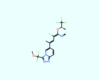 C=N/C(O[C@H](C)C(F)(F)F)=C(F)\C=C(/C)c1ccc2nnc(C(F)(F)OC)n2c1